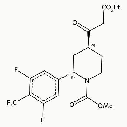 CCOC(=O)CC(=O)[C@H]1CCN(C(=O)OC)[C@H](c2cc(F)c(C(F)(F)F)c(F)c2)C1